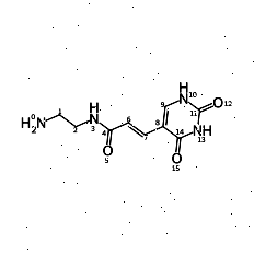 NCCNC(=O)/C=C/c1c[nH]c(=O)[nH]c1=O